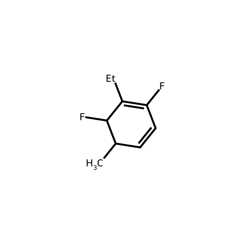 CCC1=C(F)C=CC(C)C1F